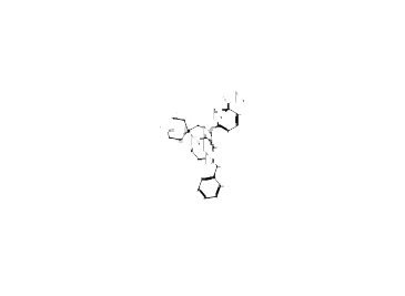 N#Cc1cccc(NCC2(N3CCN(Cc4ccccc4)CC3)CCOCC2)n1